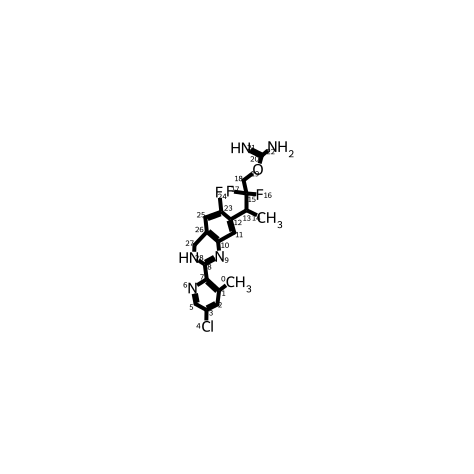 Cc1cc(Cl)cnc1C1=Nc2cc(C(C)C(F)(F)COC(=N)N)c(F)cc2CN1